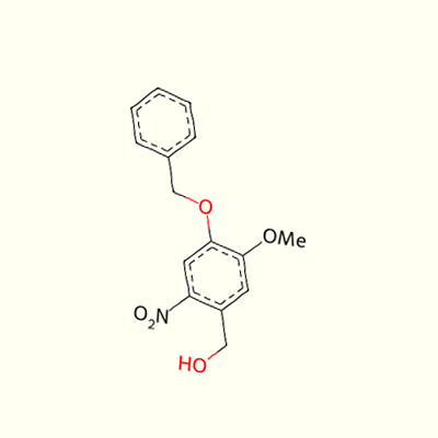 COc1cc(CO)c([N+](=O)[O-])cc1OCc1ccccc1